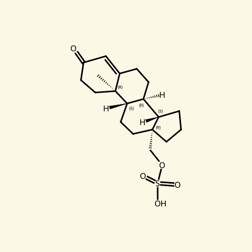 C[C@]12CCC(=O)C=C1CC[C@H]1[C@@H]3CCC[C@@]3(COS(=O)(=O)O)CC[C@@H]12